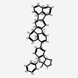 CC12CCCC1c1cc(-c3ccc4c5cc6c(cc5c5cccc3c54)c3cccc4cccc6c43)ccc1N2c1ccccc1